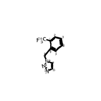 FC(F)(F)c1ccccc1Cn1ccnn1